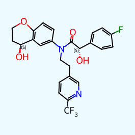 O=C([C@@H](O)c1ccc(F)cc1)N(CCc1ccc(C(F)(F)F)nc1)c1ccc2c(c1)[C@@H](O)CCO2